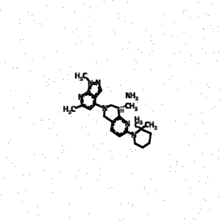 Cc1cc(N2Cc3ccc(N4CCCCC4(C)C)nc3[C@@H](C)C2)c2cnn(C)c2n1.N